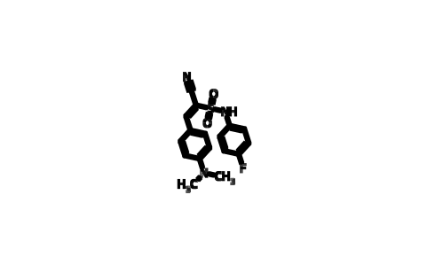 CN(C)c1ccc(/C=C(/C#N)S(=O)(=O)Nc2ccc(F)cc2)cc1